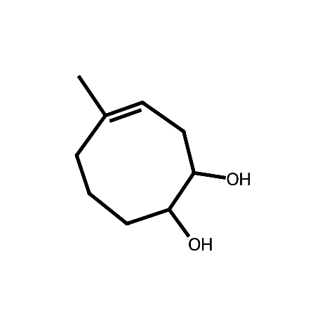 CC1=CCC(O)C(O)CCC1